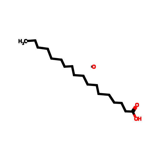 CCCCCCCCCCCCCCCCCC(=O)O.[O]